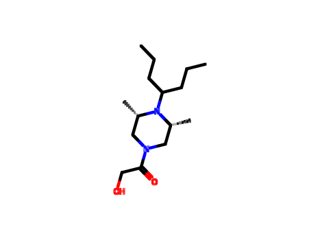 CCCC(CCC)N1[C@H](C)CN(C(=O)CO)C[C@@H]1C